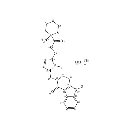 CC1N(COC(=O)C2(N)CCCCC2)C=CN1CC1CCc2c(c3ccccc3n2C)C1=O.Cl.Cl